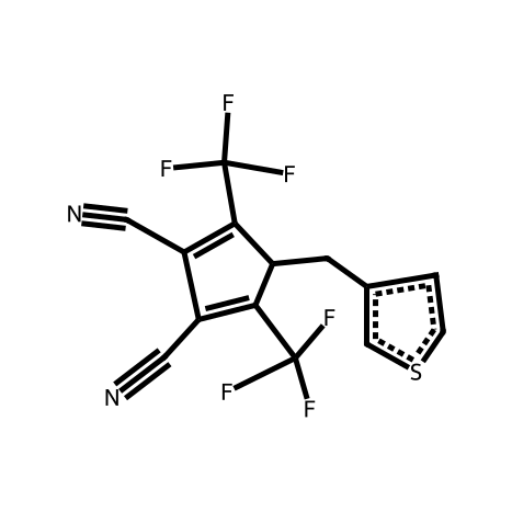 N#CC1=C(C(F)(F)F)C(Cc2ccsc2)C(C(F)(F)F)=C1C#N